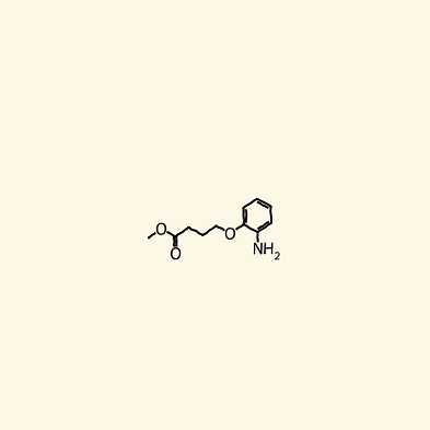 COC(=O)CCCOc1ccccc1N